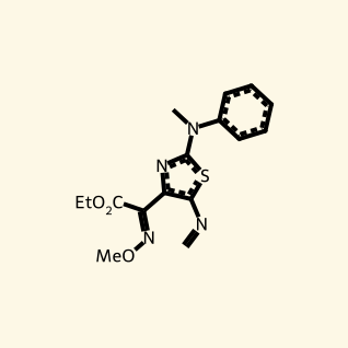 C=Nc1sc(N(C)c2ccccc2)nc1C(=NOC)C(=O)OCC